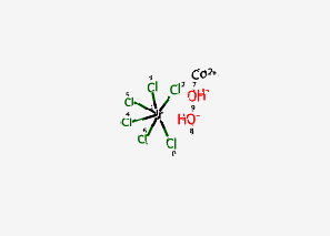 [Cl][Ir]([Cl])([Cl])([Cl])([Cl])[Cl].[Co+2].[OH-].[OH-]